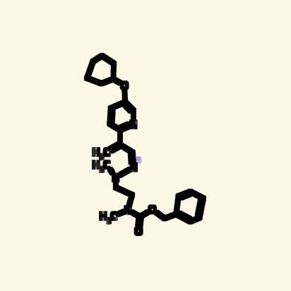 C=C(/C=N\N(C)CCN(C)C(=O)OCc1ccccc1)c1ccc(OC2CCCCC2)cn1